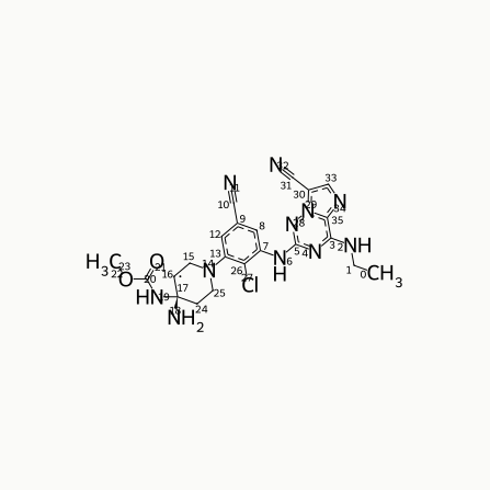 CCNc1nc(Nc2cc(C#N)cc(N3C[CH][C@@](N)(NC(=O)OC)CC3)c2Cl)nn2c(C#N)cnc12